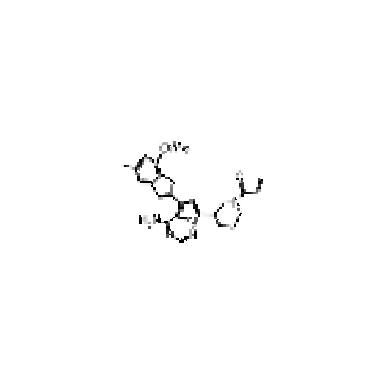 C=CC(=O)N1CCCC(c2cc(-c3cc4cc(C)cc(OC)c4s3)c3c(N)ncnn23)C1